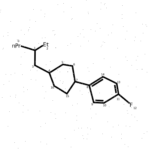 CCCC(CC)CC1CCC(c2ccc(F)cc2)CC1